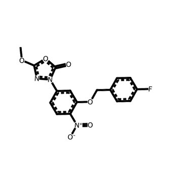 COc1nn(-c2ccc([N+](=O)[O-])c(OCc3ccc(F)cc3)c2)c(=O)o1